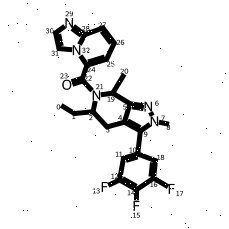 CCC1Cc2c(nn(C)c2-c2cc(F)c(F)c(F)c2)C(C)N1C(=O)c1cccc2nccn12